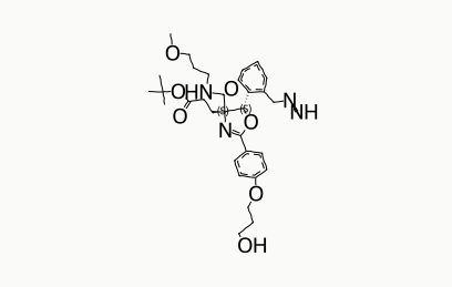 COCCCNC(=O)[C@@]1(CCC(=O)OC(C)(C)C)N=C(c2ccc(OCCCO)cc2)O[C@H]1c1ccccc1CN=N